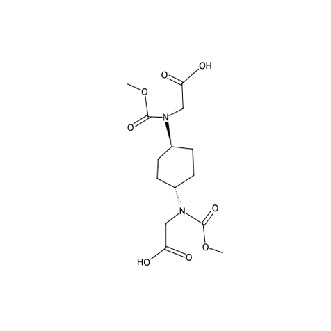 COC(=O)N(CC(=O)O)[C@H]1CC[C@H](N(CC(=O)O)C(=O)OC)CC1